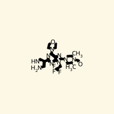 C[C@@H]1CN(c2nc3c(N4CCOCC4)nc(/C(C=N)=C/N)nc3n2CC(F)(F)F)C[C@H](C)N1C=O